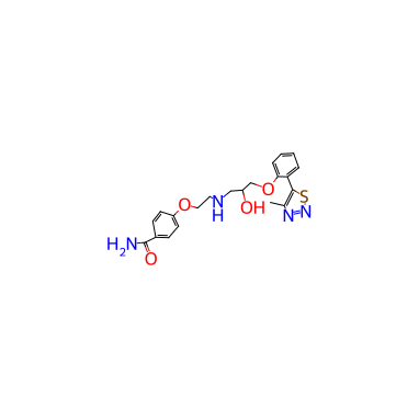 Cc1nnsc1-c1ccccc1OCC(O)CNCCOc1ccc(C(N)=O)cc1